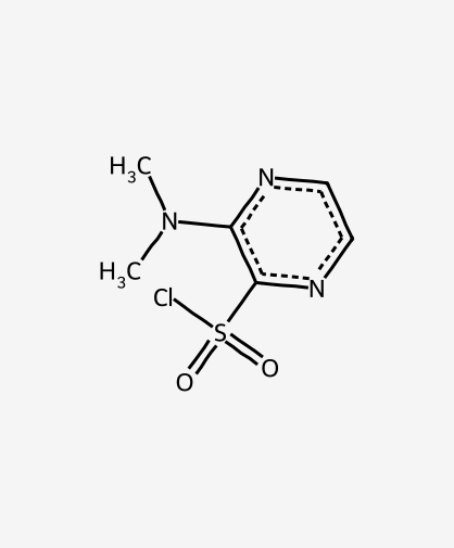 CN(C)c1nccnc1S(=O)(=O)Cl